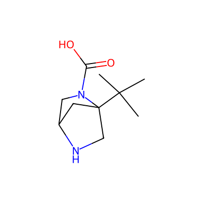 CC(C)(C)C12CNC(CN1C(=O)O)C2